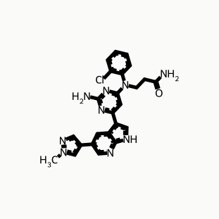 Cn1cc(-c2cnc3[nH]cc(-c4cc(N(CCC(N)=O)c5ccccc5Cl)nc(N)n4)c3c2)cn1